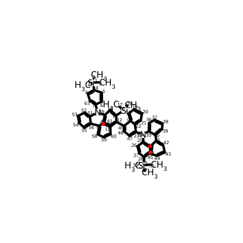 C[Si](C)(C)c1ccc(N(c2ccc3c(c2)[Si](C)(C)c2cccc4c(N(c5ccc([Si](C)(C)C)cc5)c5ccccc5-c5ccccc5)ccc-3c24)c2ccccc2-c2ccccc2)cc1